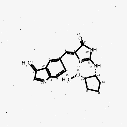 C=C1C=Nc2ccc(/C=C3\N=C(N[C@@H]4CCC[C@@H]4OC)NC3=O)cc21